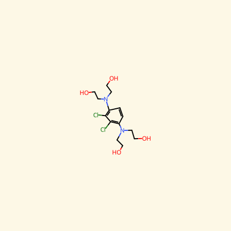 OCCN(CCO)c1ccc(N(CCO)CCO)c(Cl)c1Cl